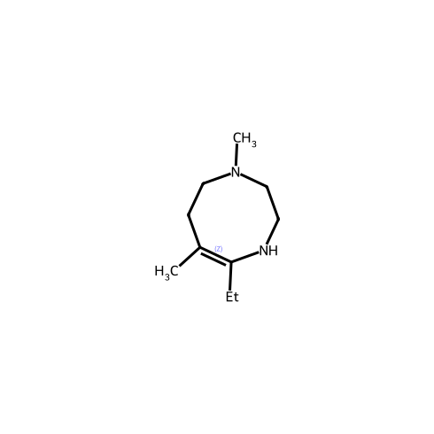 CC/C1=C(\C)CCN(C)CCN1